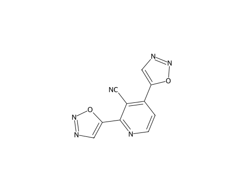 N#Cc1c(-c2cnno2)ccnc1-c1cnno1